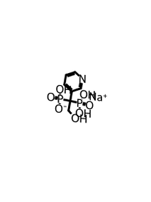 O=P([O-])(O)C(CO)(c1cccnc1)P(=O)(O)O.[Na+]